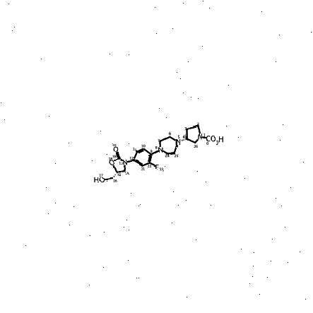 O=C(O)N1CC[C@@H](N2CCN(c3ccc(N4C[C@H](CO)OC4=O)cc3F)CC2)C1